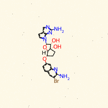 Nc1ncc2ccn([C@@H]3O[C@@H]4[C@@H](Oc5ccc6cc(Br)c(N)nc6c5)CC[C@]4(O)[C@H]3O)c2n1